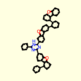 c1ccc(C2=NC(c3ccc4c(c3)oc3cccc(-c5ccccc5)c34)=NC(c3ccc4c(c3)oc3ccc(-c5ccccc5-c5cccc6oc7ccccc7c56)cc34)N2)cc1